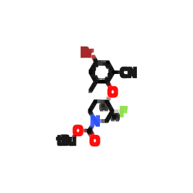 Cc1cc(Br)cc(C#N)c1O[C@H]1CCN(C(=O)OC(C)(C)C)C[C@H]1F